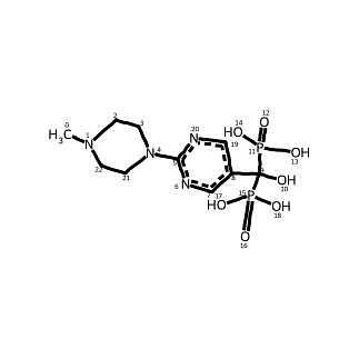 CN1CCN(c2ncc(C(O)(P(=O)(O)O)P(=O)(O)O)cn2)CC1